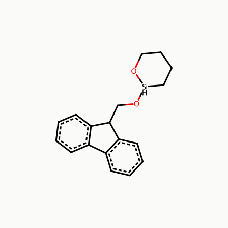 c1ccc2c(c1)-c1ccccc1C2CO[SiH]1CCCCO1